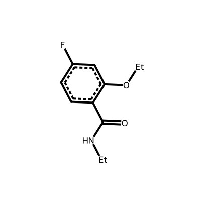 CCNC(=O)c1ccc(F)cc1OCC